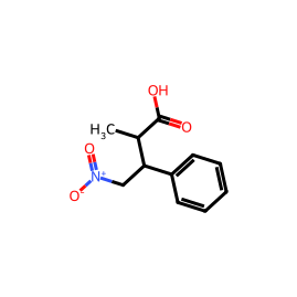 CC(C(=O)O)C(C[N+](=O)[O-])c1ccccc1